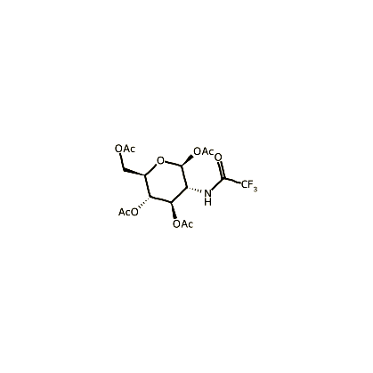 CC(=O)OC[C@H]1O[C@@H](OC(C)=O)[C@H](NC(=O)C(F)(F)F)[C@@H](OC(C)=O)[C@@H]1OC(C)=O